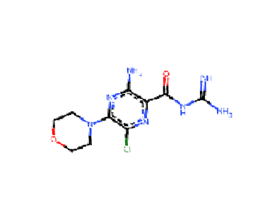 N=C(N)NC(=O)c1nc(Cl)c(N2CCOCC2)nc1N